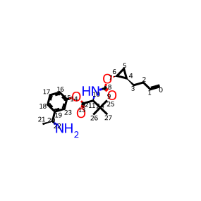 C=CCC[C@@H]1C[C@H]1OC(=O)N[C@H](C(=O)Oc1cccc([C@H](C)N)c1)C(C)(C)C